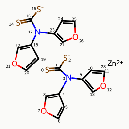 S=C([S-])N(c1ccoc1)c1ccoc1.S=C([S-])N(c1ccoc1)c1ccoc1.[Zn+2]